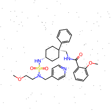 COCCN(Cc1ccncc1)S(=O)(=O)N[C@H]1CC[C@](CNC(=O)c2ccccc2OC)(c2ccccc2)CC1